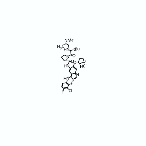 CN[C@@H](C)CN[C@H](C(=O)N1CCC[C@H]1C(=O)Nc1cc2c(Nc3ccc(F)c(Cl)c3F)ncnc2cc1O[C@@H]1CCOC1)C(C)(C)C.Cl